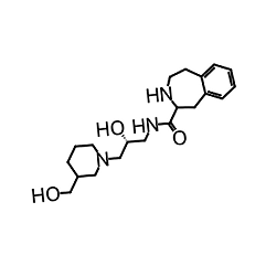 O=C(NC[C@@H](O)CN1CCCC(CO)C1)C1Cc2ccccc2CCN1